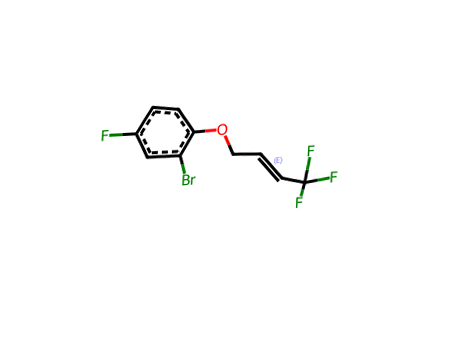 Fc1ccc(OC/C=C/C(F)(F)F)c(Br)c1